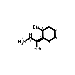 CCC1CCCC/C1=C(/NN)C(C)(C)C